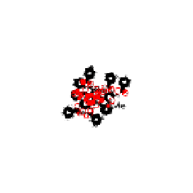 CO[C@H]1O[C@H](COC(=O)c2ccccc2)[C@@H](OC(=O)c2ccccc2)[C@H](O[C@@H]2O[C@H](COC(=O)c3ccccc3)[C@@H](OC(=O)c3ccccc3)[C@H](O[C@@H]3O[C@H](COC(=O)c4ccccc4)[C@@H](OC(=O)c4ccccc4)[C@H](O)[C@@H]3OC(=O)c3ccccc3)[C@@H]2OC(=O)c2ccccc2)[C@@H]1OC(=O)c1ccccc1